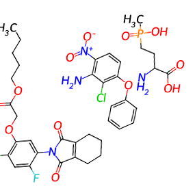 CCCCCOC(=O)COc1cc(N2C(=O)C3=C(CCCC3)C2=O)c(F)cc1Cl.CP(=O)(O)CCC(N)C(=O)O.Nc1c([N+](=O)[O-])ccc(Oc2ccccc2)c1Cl